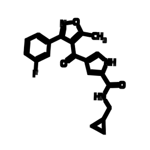 Cc1onc(-c2cccc(F)c2)c1C(=O)c1c[nH]c(C(=O)NCC2CC2)c1